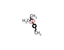 CCCc1ccc(C2OCC(CC)C(C)O2)cc1